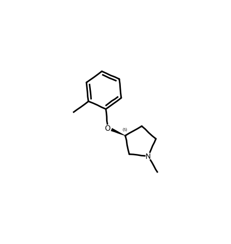 Cc1ccccc1O[C@H]1CCN(C)C1